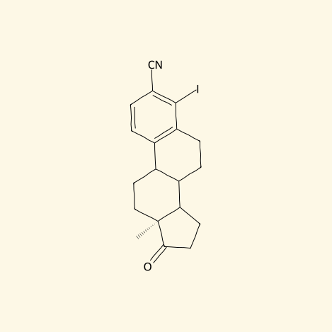 C[C@]12CCC3c4ccc(C#N)c(I)c4CCC3C1CCC2=O